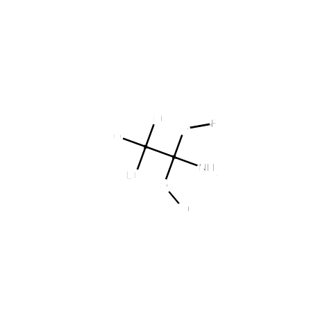 CCOC(N)(OCC)C(O)(CC)CC